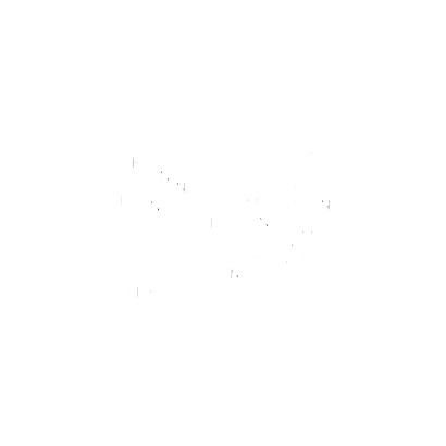 Cc1cnc2c(c1)S(=O)(=O)N(Cc1cc([C@H](CC(=O)O)c3ccn4c(C(F)(F)F)nnc4c3C)cnc1C)CC1(CC1)O2